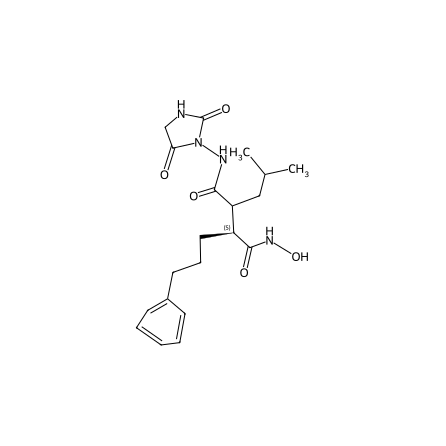 CC(C)CC(C(=O)NN1C(=O)CNC1=O)[C@H](CCCc1ccccc1)C(=O)NO